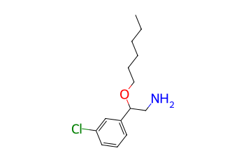 CCCCCCOC(CN)c1cccc(Cl)c1